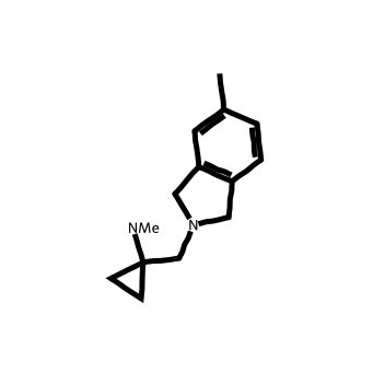 CNC1(CN2Cc3ccc(C)cc3C2)CC1